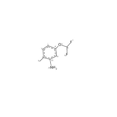 Cc1ccc(OC(F)F)cc1N